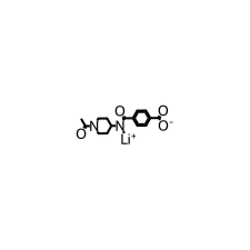 CC(=O)N1CCC(N(C)C(=O)c2ccc(C(=O)[O-])cc2)CC1.[Li+]